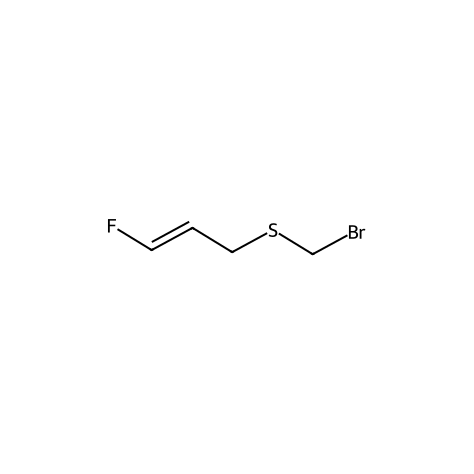 FC=CCSCBr